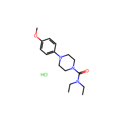 CCN(CC)C(=O)N1CCN(c2ccc(OC)cc2)CC1.Cl